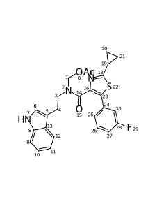 CC(=O)OCN(CCc1c[nH]c2ccccc12)C(=O)c1nc(C2CC2)sc1-c1cccc(F)c1